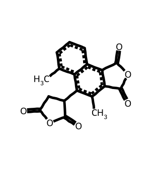 Cc1c2c(c3cccc(C)c3c1C1CC(=O)OC1=O)C(=O)OC2=O